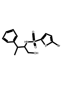 CC(c1ccccc1)C(CO)NS(=O)(=O)c1ccc(Br)s1